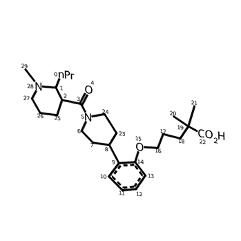 CCCC1C(C(=O)N2CCC(c3ccccc3OCCCC(C)(C)C(=O)O)CC2)CCCN1C